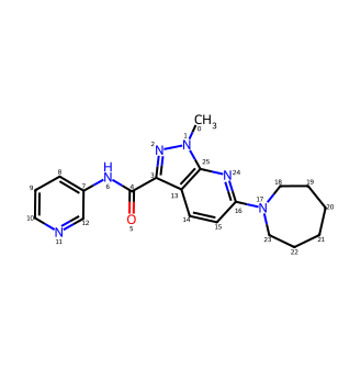 Cn1nc(C(=O)Nc2cccnc2)c2ccc(N3CCCCCC3)nc21